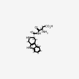 N[C@@H](CC(=O)O)C(=O)NC(=O)[C@@H]1Cc2c([nH]c3ccccc23)CN1